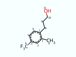 Cc1cc(C(F)(F)F)ccc1CCCO